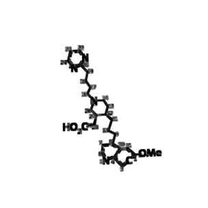 COc1ccc2nccc(CCC[C@@H]3CCN(CCCCc4ncccn4)C[C@@H]3CC(=O)O)c2c1